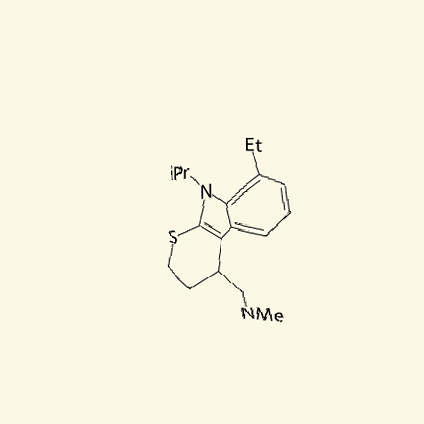 CCc1cccc2c3c(n(C(C)C)c12)SCCC3CNC